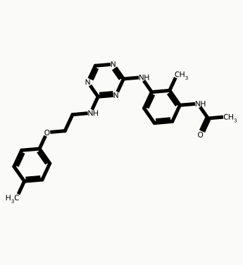 CC(=O)Nc1cccc(Nc2ncnc(NCCOc3ccc(C)cc3)n2)c1C